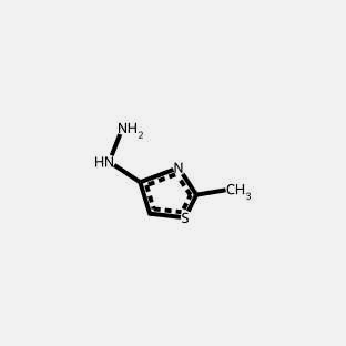 Cc1nc(NN)cs1